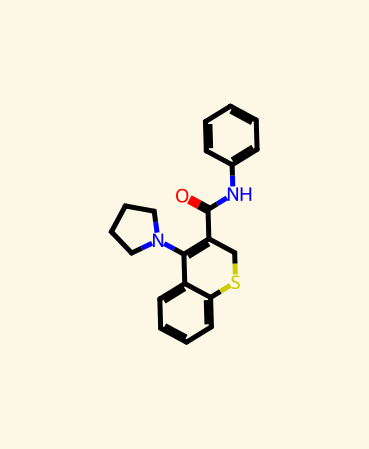 O=C(Nc1ccccc1)C1=C(N2CCCC2)c2ccccc2SC1